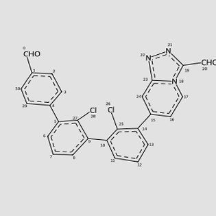 O=Cc1ccc(-c2cccc(-c3cccc(-c4ccn5c(C=O)nnc5c4)c3Cl)c2Cl)cc1